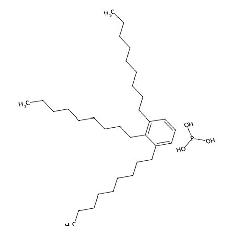 CCCCCCCCCc1cccc(CCCCCCCCC)c1CCCCCCCCC.OP(O)O